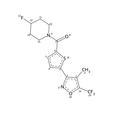 Cc1c(-c2ccc(C(=O)N3CCC(F)CC3)s2)noc1C(F)(F)F